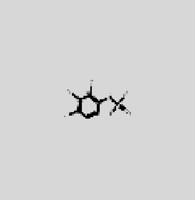 O=P(F)(F)Oc1ccc(F)c(F)c1F